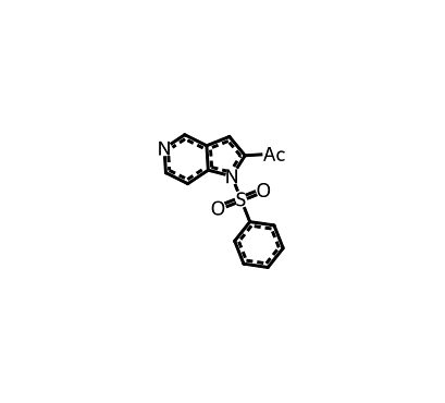 CC(=O)c1cc2cnccc2n1S(=O)(=O)c1ccccc1